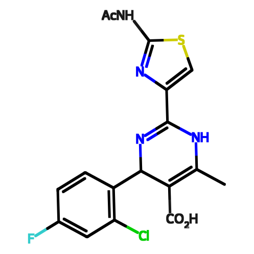 CC(=O)Nc1nc(C2=NC(c3ccc(F)cc3Cl)C(C(=O)O)=C(C)N2)cs1